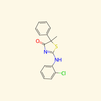 CC1(c2ccccc2)SC(Nc2ccccc2Cl)=NC1=O